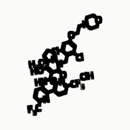 CC12CCCN1N(Cc1c(Cl)cc(OCCN3CCOCC3)cc1Cl)C(=O)C(C(=O)Nc1ccc(C(F)(F)F)nc1-c1ccc(C(F)(F)F)nc1)=C2O.Cl